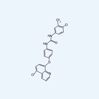 O=C(Nc1ccc(Oc2ccc(Cl)c3cccnc23)cc1)Nc1ccc(Cl)c(C(F)(F)F)c1